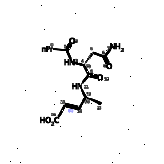 CCCC(=O)N[C@H](CC(N)=O)C(=O)N[C@@H](C)/C=C/C(=O)O